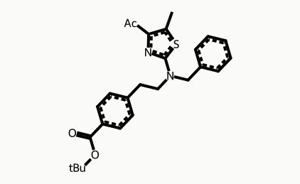 CC(=O)c1nc(N(CCc2ccc(C(=O)OC(C)(C)C)cc2)Cc2ccccc2)sc1C